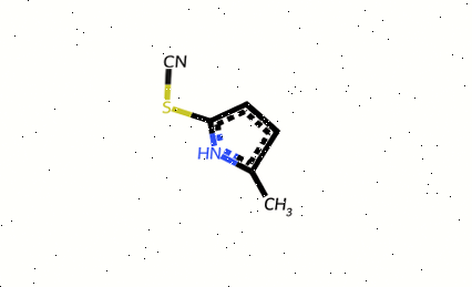 Cc1ccc(SC#N)[nH]1